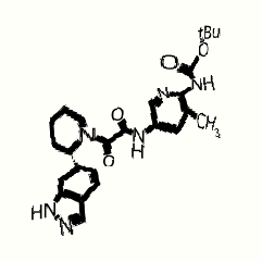 Cc1cc(NC(=O)C(=O)N2CCCC[C@H]2c2ccc3cn[nH]c3c2)cnc1NC(=O)OC(C)(C)C